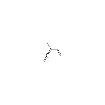 C=C=C(C)C=C